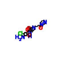 COc1cc(N)c(Cl)cc1C(=O)N[C@@H]1CCN(CCCC(=O)N2CCCN(C)CC2)C[C@@H]1OC